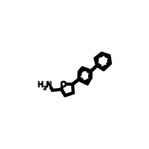 NCC1CCC(c2ccc(-c3ccccc3)cc2)O1